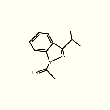 CC(=N)n1nc(C(C)C)c2ccccc21